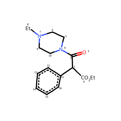 CCOC(=O)C(C(=O)N1CCN(CC)CC1)c1ccccc1